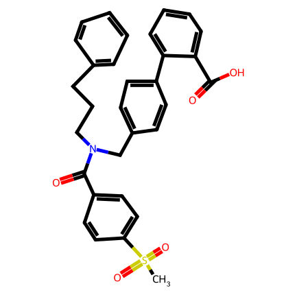 CS(=O)(=O)c1ccc(C(=O)N(CCCc2ccccc2)Cc2ccc(-c3ccccc3C(=O)O)cc2)cc1